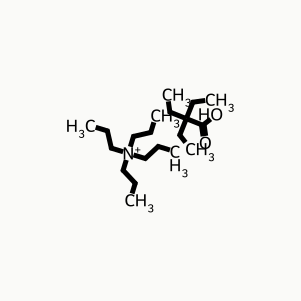 CCC(CC)(CC)C(=O)O.CCC[N+](CCC)(CCC)CCC